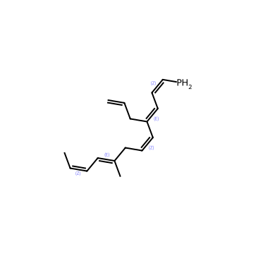 C=CCC(/C=C\C/C(C)=C/C=C\C)=C\C=C/P